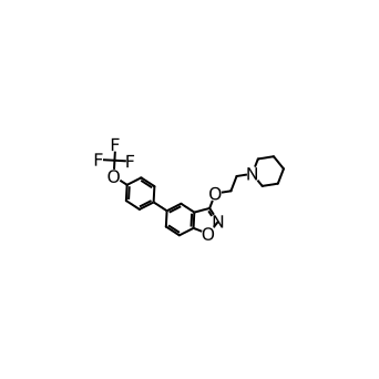 FC(F)(F)Oc1ccc(-c2ccc3onc(OCCN4CCCCC4)c3c2)cc1